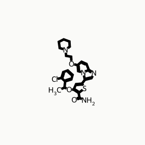 CC(Oc1cc(-c2cnc3ccc(OCCN4CCCCC4)cn23)sc1C(N)=O)c1ccccc1Cl